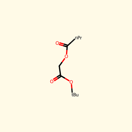 [CH2]CCC(=O)OCC(=O)OC(C)(C)C